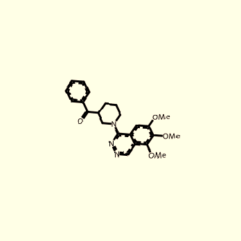 COc1cc2c(N3CCCC(C(=O)c4ccccc4)C3)nncc2c(OC)c1OC